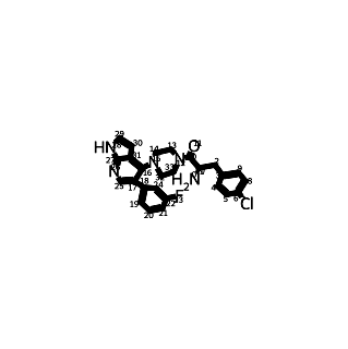 N[C@H](Cc1ccc(Cl)cc1)C(=O)N1CCN(c2c(-c3cccc(F)c3)cnc3[nH]ccc23)CC1